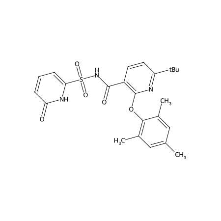 Cc1cc(C)c(Oc2nc(C(C)(C)C)ccc2C(=O)NS(=O)(=O)c2cccc(=O)[nH]2)c(C)c1